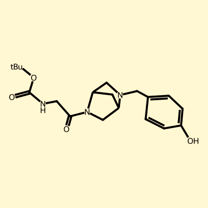 CC(C)(C)OC(=O)NCC(=O)N1CC2CC1CN2Cc1ccc(O)cc1